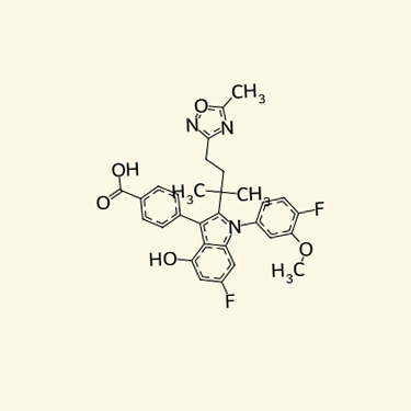 COc1cc(-n2c(C(C)(C)CCc3noc(C)n3)c(-c3ccc(C(=O)O)cc3)c3c(O)cc(F)cc32)ccc1F